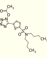 CCCCN(CCCC)S(=O)(=O)c1ccc(-c2nnnn2OC(C)=O)s1